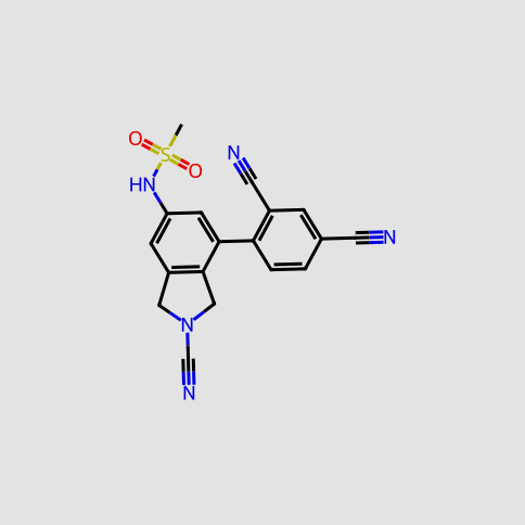 CS(=O)(=O)Nc1cc2c(c(-c3ccc(C#N)cc3C#N)c1)CN(C#N)C2